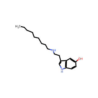 CCCCCCCCCNCCc1c[nH]c2ccc(O)cc12